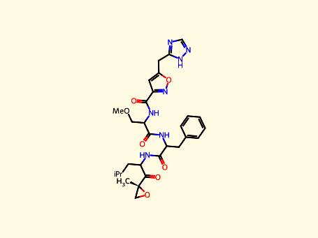 COCC(NC(=O)c1cc(Cc2ncn[nH]2)on1)C(=O)NC(Cc1ccccc1)C(=O)NC(CC(C)C)C(=O)[C@@]1(C)CO1